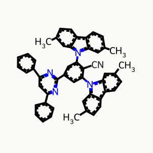 Cc1ccc2c3ccc(C)cc3n(-c3cc(-c4nc(-c5ccccc5)cc(-c5ccccc5)n4)cc(-n4c5cc(C)ccc5c5ccc(C)cc54)c3C#N)c2c1